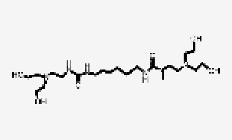 O=C(NCCCCCCNC(=O)NCCN(CCO)CCO)NCCN(CCO)CCO